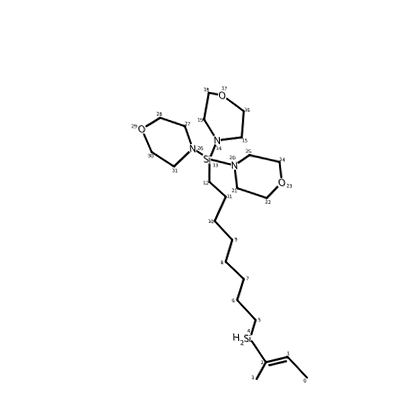 CC=C(C)[SiH2]CCCCCCCC[Si](N1CCOCC1)(N1CCOCC1)N1CCOCC1